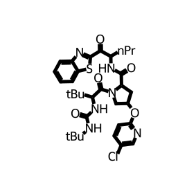 CCCC(NC(=O)C1CC(Oc2ccc(Cl)cn2)CN1C(=O)C(NC(=O)NC(C)(C)C)C(C)(C)C)C(=O)c1nc2ccccc2s1